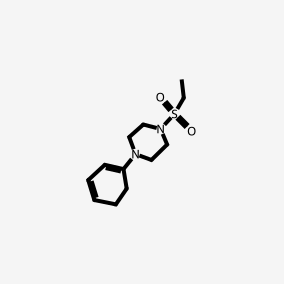 CCS(=O)(=O)N1CCN(C2=CC=CCC2)CC1